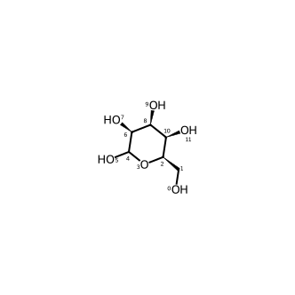 OC[C@H]1OC(O)[C@@H](O)[C@@H](O)[C@H]1O